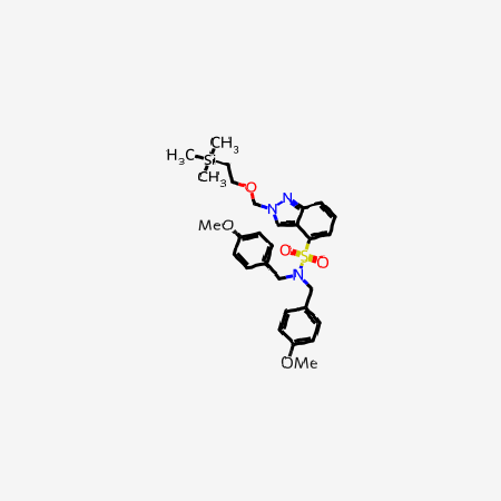 COc1ccc(CN(Cc2ccc(OC)cc2)S(=O)(=O)c2cccc3nn(COCC[Si](C)(C)C)cc23)cc1